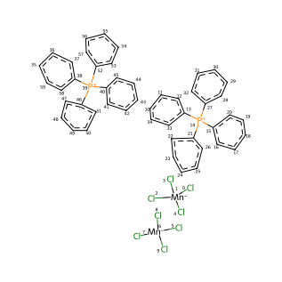 [Cl][Mn-]([Cl])([Cl])[Cl].[Cl][Mn-]([Cl])([Cl])[Cl].c1ccc([P+](c2ccccc2)(c2ccccc2)c2ccccc2)cc1.c1ccc([P+](c2ccccc2)(c2ccccc2)c2ccccc2)cc1